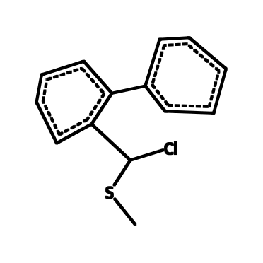 CSC(Cl)c1ccccc1-c1ccccc1